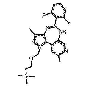 Cc1cc2c(cn1)NC(c1c(F)cccc1F)=Nc1c(C)nn(COCC[Si](C)(C)C)c1-2